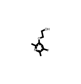 Cc1nc(C)c(OCCO)cc1F